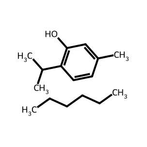 CCCCCC.Cc1ccc(C(C)C)c(O)c1